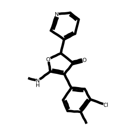 CNC1=C(c2ccc(C)c(Cl)c2)C(=O)C(c2cccnc2)O1